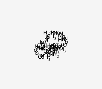 C[C@@H](C(=O)N(C)[C@@H](C)C(=O)N(C)[C@@H](C)C(=O)N(C)[C@@H](C)C(=O)N(CCCCN(C)C(=O)CCCOc1cccc(-c2nc3ccc(-c4nc5cc(N6CCN(C)CC6)ccc5[nH]4)cc3[nH]2)c1)CC(N)=O)N(C)C(=O)CCCOc1cccc(-c2nc3ccc(-c4nc5ccc(N6CCN(C)CC6)cc5[nH]4)cc3[nH]2)c1